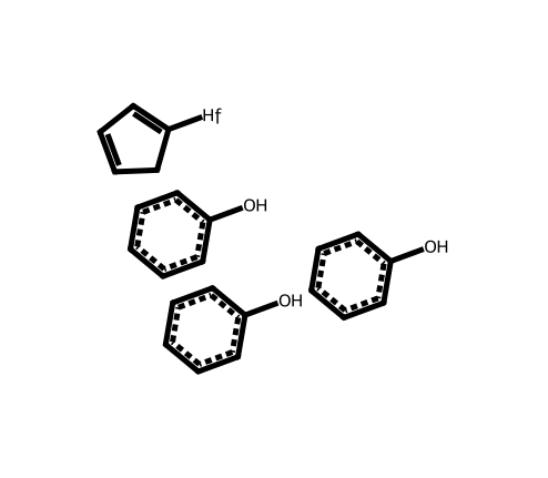 Oc1ccccc1.Oc1ccccc1.Oc1ccccc1.[Hf][C]1=CC=CC1